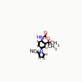 CC1(C)OC(=O)Nc2ccc(-n3cccc3C#N)cc21